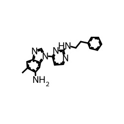 Cc1cc2ncn(-c3ccnc(NCCc4ccccc4)n3)c2cc1N